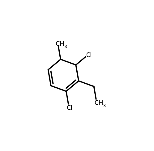 CCC1=C(Cl)C=CC(C)C1Cl